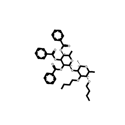 CCCCOC1C(O[C@@H]2OC(C)[C@H](OC(=O)c3ccccc3)C(OC(=O)c3ccccc3)C2OC(=O)c2ccccc2)[C@H](C)OC(C)[C@@H]1OCCCC